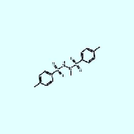 Cc1ccc(S(=O)(=O)NN(C)S(=O)(=O)c2ccc(C)cc2)cc1